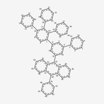 c1ccc(-c2cc(-c3ccc(-c4ccccc4)c(-c4ccccc4)c3-c3ccccc3)cc(-c3c4ccccc4c(-c4ccccc4)c4ccccc34)c2)cc1